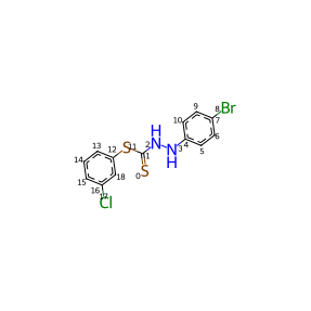 S=C(NNc1ccc(Br)cc1)Sc1cccc(Cl)c1